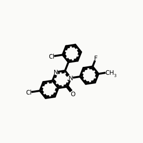 Cc1ccc(-n2c(-c3ccccc3Cl)nc3cc(Cl)ccc3c2=O)cc1F